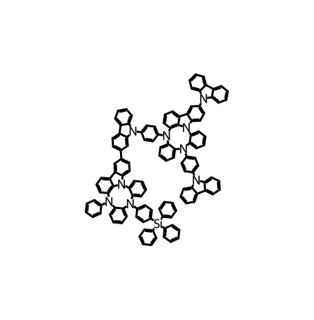 c1ccc(N2c3ccccc3N(c3ccc([Si](c4ccccc4)(c4ccccc4)c4ccccc4)cc3)c3ccccc3-n3c4ccc(-c5ccc6c7ccccc7n(-c7ccc(N8c9ccccc9N(c9ccc(-n%10c%11ccccc%11c%11ccccc%11%10)cc9)c9ccccc9-n9c%10ccc(-n%11c%12ccccc%12c%12ccccc%12%11)cc%10c%10cccc8c%109)cc7)c6c5)cc4c4cccc2c43)cc1